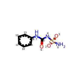 NS(=O)(=O)[N]C(=O)Nc1ccccc1